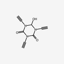 C#CN1C(=O)N(C#C)C(O)N(C#C)C1=O